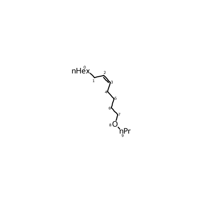 CCCCCCC/C=C\CCCCOCCC